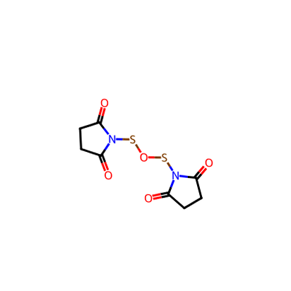 O=C1CCC(=O)N1SOSN1C(=O)CCC1=O